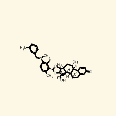 Cc1ccc(N(C)Cc2cccc(N)c2)c(F)c1[C@@H]1O[C@@H]2C[C@H]3[C@@H]4CCC5=CC(=O)C=C[C@]5(C)[C@H]4[C@@H](O)C[C@]3(C)[C@]2(C(=O)CO)O1